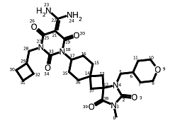 CN1C(=O)N(CC2CCOCC2)C2(CC3(CCC(N4C(=O)C(=C(N)N)C(=O)N(CC5CCC5)C4=O)CC3)C2)C1=O